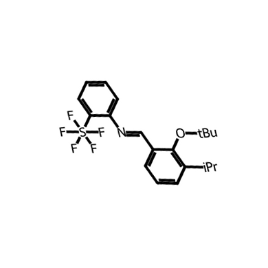 CC(C)c1cccc(/C=N/c2ccccc2S(F)(F)(F)(F)F)c1OC(C)(C)C